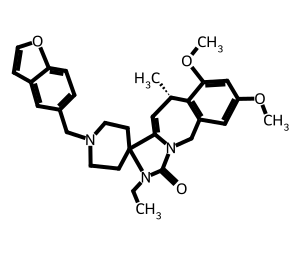 CCN1C(=O)N2Cc3cc(OC)cc(OC)c3[C@@H](C)C=C2C12CCN(Cc1ccc3occc3c1)CC2